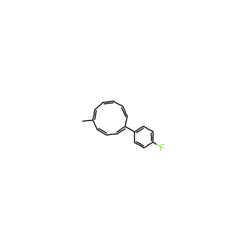 Cc1cccccc(-c2ccc(F)cc2)ccc1